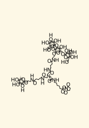 C[C@@H]1O[C@@H](OCCNC(=O)CCCNC(=O)CN(CC(=O)NCCCCCC(=O)ON2C(=O)CCC2=O)CC(=O)NCCCC(=O)NCCO[C@H]2O[C@H](CO[C@H]3O[C@H](CO)[C@@H](O)[C@H](O)[C@@H]3O)[C@@H](O)[C@H](O[C@H]3O[C@H](CO)[C@@H](O)[C@H](O)[C@@H]3O)[C@@H]2O)[C@@H](O)[C@H](O)[C@@H]1O